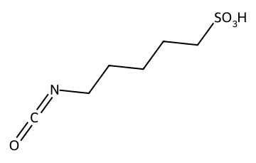 O=C=NCCCCCS(=O)(=O)O